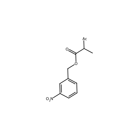 CC(=O)C(C)C(=O)OCc1cccc([N+](=O)[O-])c1